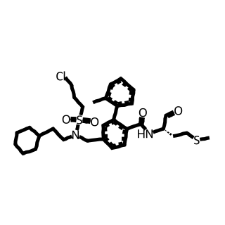 CSCC[C@@H](C=O)NC(=O)c1ccc(CN(CCC2CCCCC2)S(=O)(=O)CCCCl)cc1-c1ccccc1C